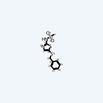 CS(=O)(=O)Nc1ncc(SCc2ccccc2)s1